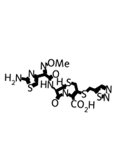 CO/N=C(\C(=O)N[C@@H]1C(=O)N2C(C(=O)O)=C(SCc3cnns3)CS[C@@H]12)c1csc(N)n1